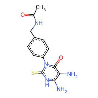 CC(=O)NCc1ccc(-n2c(=S)[nH]c(N)c(N)c2=O)cc1